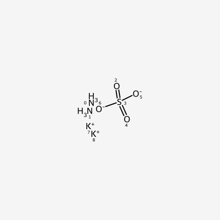 N.N.O=S(=O)([O-])[O-].[K+].[K+]